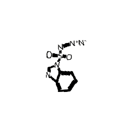 [N-]=[N+]=NS(=O)(=O)n1cnc2ccccc21